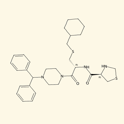 O=C(N[C@@H](CSCC1CCCCC1)C(=O)N1CCN(C(c2ccccc2)c2ccccc2)CC1)[C@@H]1CSCN1